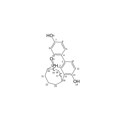 O=[PH]1c2c(-c3ccc(O)cc3)ccc(O)c2C2CCCC1CCC2